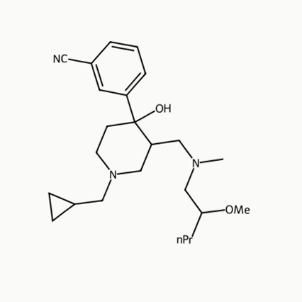 CCCC(CN(C)CC1CN(CC2CC2)CCC1(O)c1cccc(C#N)c1)OC